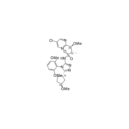 COc1cccc(OC)c1-n1c(NS(=O)(=O)[C@@H](C)[C@H](OC)c2ncc(Cl)cn2)nnc1[C@H]1CC[C@H](OC)C1